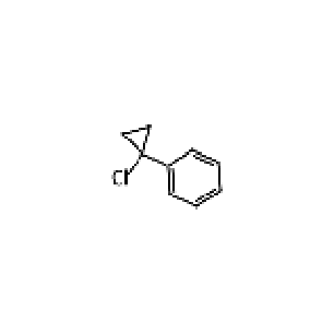 ClC1(c2ccccc2)CC1